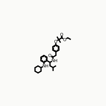 CCOC(=O)C(C)(C)Oc1ccc(CC(=O)NC(CC(C)C)c2ccccc2NC2CCCCC2)cc1